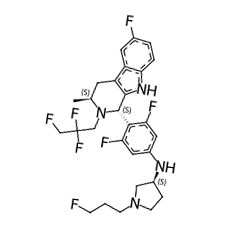 C[C@H]1Cc2c([nH]c3ccc(F)cc23)[C@H](c2c(F)cc(N[C@H]3CCN(CCCF)C3)cc2F)N1CC(F)(F)CF